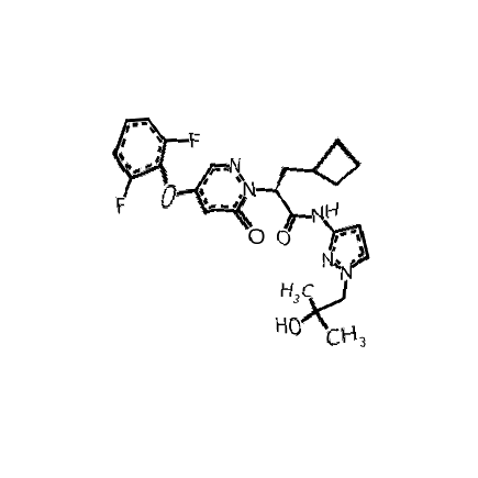 CC(C)(O)Cn1ccc(NC(=O)[C@H](CC2CCC2)n2ncc(Oc3c(F)cccc3F)cc2=O)n1